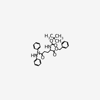 CC(C)(C)OC(=O)NC(CCC(=O)N(Nc1ccccc1)c1ccccc1)C(=O)OCc1ccccc1